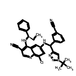 CC[C@@H](Nc1c(C#N)cnc2c(Cl)cc(NC(c3cccc(C#N)c3)c3cn(C(C)(C)C)nn3)cc12)c1ccccc1